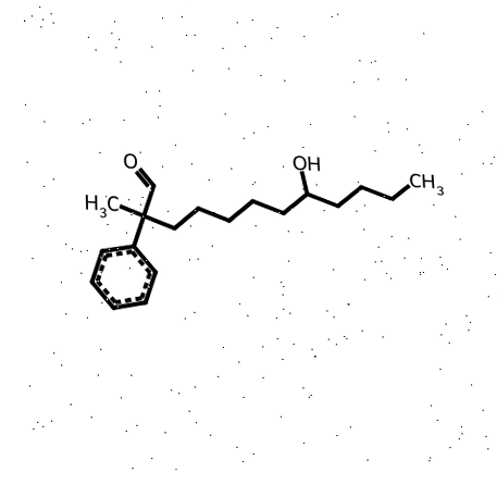 CCCCC(O)CCCCCC(C)(C=O)c1ccccc1